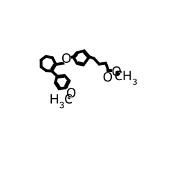 COC(=O)CCCc1ccc(OCC2=C(c3ccc(OC)cc3)CCCCC2)cc1